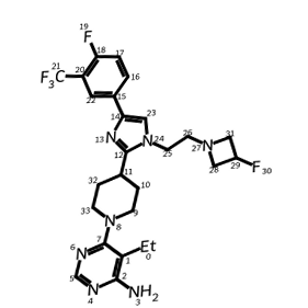 CCc1c(N)ncnc1N1CCC(c2nc(-c3ccc(F)c(C(F)(F)F)c3)cn2CCN2CC(F)C2)CC1